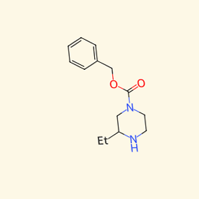 CCC1CN(C(=O)OCc2ccccc2)CCN1